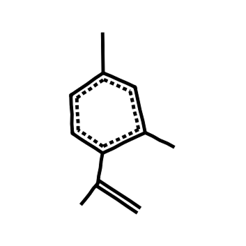 C=C(C)c1ccc(C)cc1C